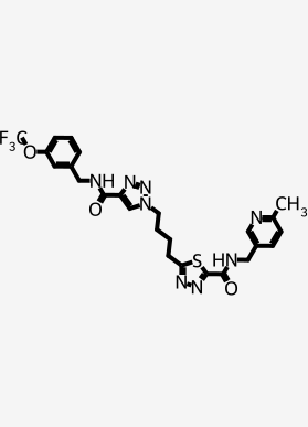 Cc1ccc(CNC(=O)c2nnc(CCCCn3cc(C(=O)NCc4cccc(OC(F)(F)F)c4)nn3)s2)cn1